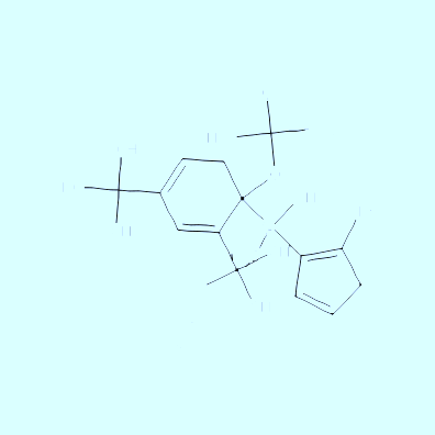 CC(C)(C)OC1([Si](C)(C)C2=[C]([Ti+2])CC=C2)CC=C(C(C)(C)C)C=C1C(C)(C)C.[Cl-].[Cl-]